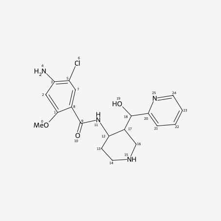 COc1cc(N)c(Cl)cc1C(=O)NC1CCNCC1C(O)c1ccccn1